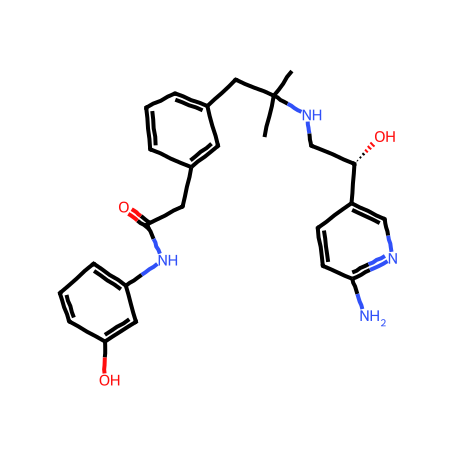 CC(C)(Cc1cccc(CC(=O)Nc2cccc(O)c2)c1)NC[C@H](O)c1ccc(N)nc1